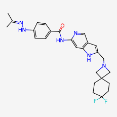 CC(C)=NNc1ccc(C(=O)Nc2cc3[nH]c(CN4CC5(CCC(F)(F)CC5)C4)cc3cn2)cc1